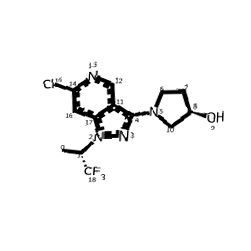 C[C@H](n1nc(N2CC[C@@H](O)C2)c2cnc(Cl)cc21)C(F)(F)F